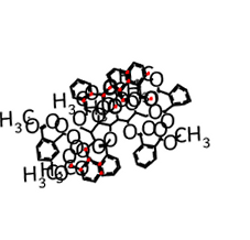 COC(=O)c1ccccc1C(=O)CC(COC(=O)c1ccccc1C(=O)OC)C(OC(=O)c1ccccc1C(=O)OC)C(OC(=O)c1ccccc1C(=O)OC)C(OC(=O)c1ccccc1C(=O)OC)C(OC(=O)c1ccccc1C(=O)OC)C(COC(=O)c1ccccc1C(=O)OC)OC(=O)c1ccccc1C(=O)OC